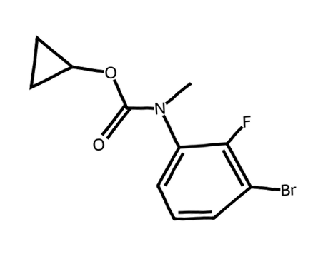 CN(C(=O)OC1CC1)c1cccc(Br)c1F